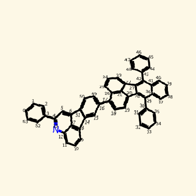 c1ccc(-c2cc3c4c(cccc4n2)-c2cc(-c4ccc5c6c(cccc46)-c4c-5c(-c5ccccc5)c5ccccc5c4-c4ccccc4)ccc2-3)cc1